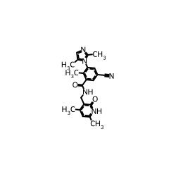 Cc1cc(C)c(CNC(=O)c2cc(C#N)cc(-n3c(C)cnc3C)c2C)c(=O)[nH]1